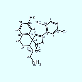 CC(=O)N1CC(c2cc(F)ccc2F)=CC12c1cc(F)ccc1CCC2CCN